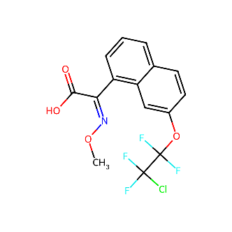 CON=C(C(=O)O)c1cccc2ccc(OC(F)(F)C(F)(F)Cl)cc12